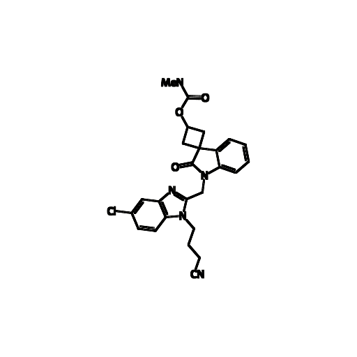 CNC(=O)OC1CC2(C1)C(=O)N(Cc1nc3cc(Cl)ccc3n1CCCC#N)c1ccccc12